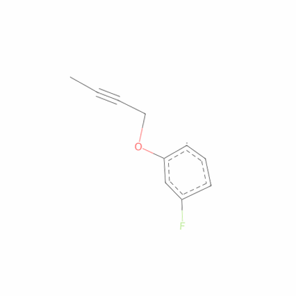 CC#CCOc1[c]ccc(F)c1